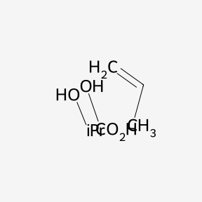 C=CC.CC(C)O.O=C(O)O